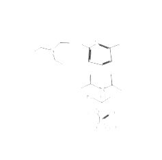 CC(C)NC(C)C.CCN(CC)CC.C[CH2][K].Cc1cccc(C)n1.O=P(O)(O)O